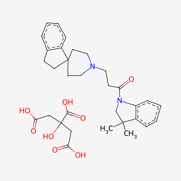 CC1(C)CN(C(=O)CCN2CCC3(CCc4ccccc43)CC2)c2ccccc21.O=C(O)CC(O)(CC(=O)O)C(=O)O